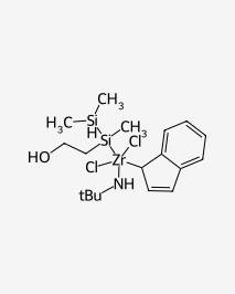 C[SiH](C)[Si](C)(CCO)[Zr]([Cl])([Cl])([NH]C(C)(C)C)[CH]1C=Cc2ccccc21